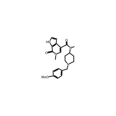 COc1ccc(CN2CCC(N(C)C(=O)c3cn(C)c(=O)c4[nH]ccc34)CC2)cc1